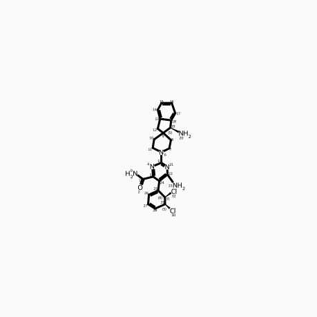 NC(=O)c1nc(N2CCC3(CC2)Cc2ccccc2[C@H]3N)nc(N)c1C1=CC=C[C@H](Cl)[C@@H]1Cl